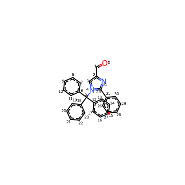 O=Cc1cn(C(c2ccccc2)(c2ccccc2)c2ccccc2)c(-c2ccccc2)n1